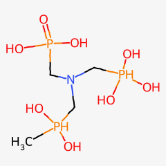 C[PH](O)(O)CN(CP(=O)(O)O)C[PH](O)(O)O